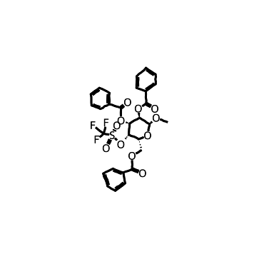 CO[C@H]1O[C@H](COC(=O)c2ccccc2)[C@H](OS(=O)(=O)C(F)(F)F)[C@H](OC(=O)c2ccccc2)[C@H]1OC(=O)c1ccccc1